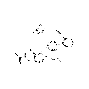 CCCCc1ccc(CNC(C)=O)c(=O)n1Cc1ccc(-c2ccccc2C#N)cc1.c1cc2cc-2c1